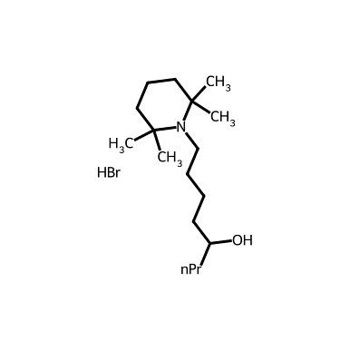 Br.CCCC(O)CCCCN1C(C)(C)CCCC1(C)C